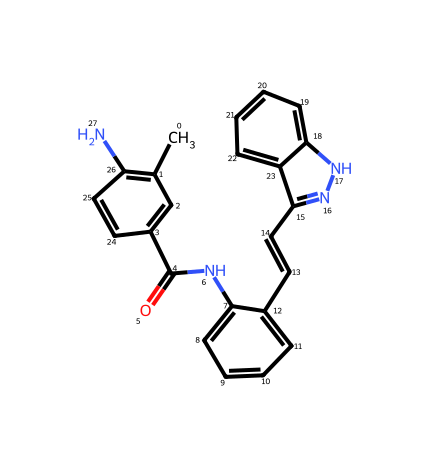 Cc1cc(C(=O)Nc2ccccc2C=Cc2n[nH]c3ccccc23)ccc1N